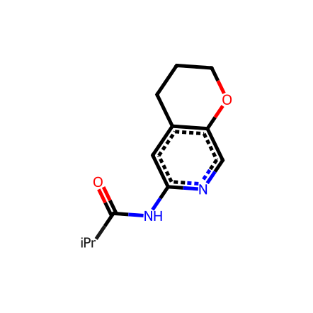 CC(C)C(=O)Nc1cc2c(cn1)OCCC2